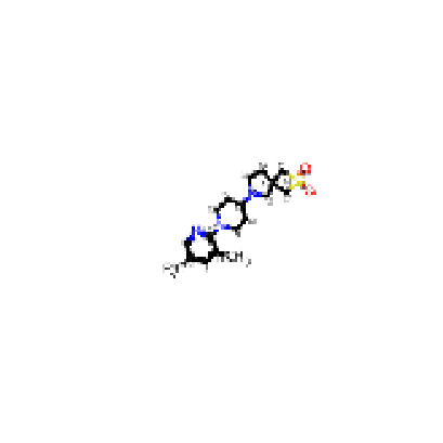 Cc1cc(C(F)(F)F)cnc1N1CCC(N2CCC3(C2)CS(=O)(=O)C3)CC1